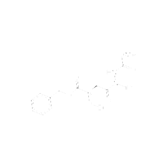 CCO[C@H](CC(=O)N(NC(=O)OC)C(C)C)C(=O)OCc1ccccc1